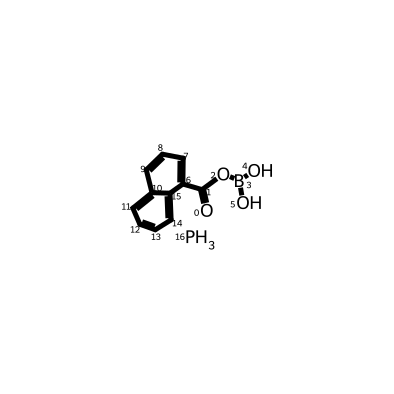 O=C(OB(O)O)c1cccc2ccccc12.P